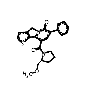 COC[C@@H]1CCCN1C(=O)c1cc(-c2ccccc2)c(=O)n2c1-c1sccc1C2